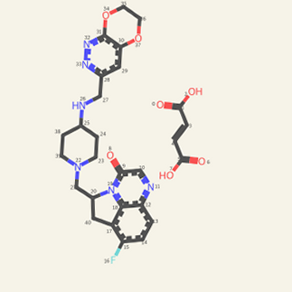 O=C(O)/C=C/C(=O)O.O=c1cnc2ccc(F)c3c2n1C(CN1CCC(NCc2cc4c(nn2)OCCO4)CC1)C3